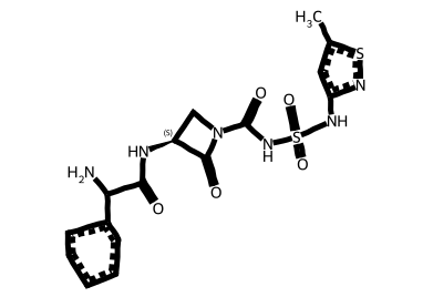 Cc1cc(NS(=O)(=O)NC(=O)N2C[C@H](NC(=O)C(N)c3ccccc3)C2=O)ns1